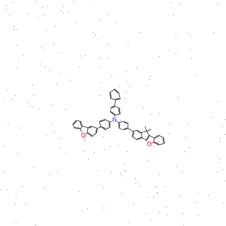 CC1(C)c2cc(-c3ccc(N(c4ccc(-c5ccccc5)cc4)c4ccc(-c5ccc6oc7ccccc7c6c5)cc4)cc3)ccc2-c2oc3ccccc3c21